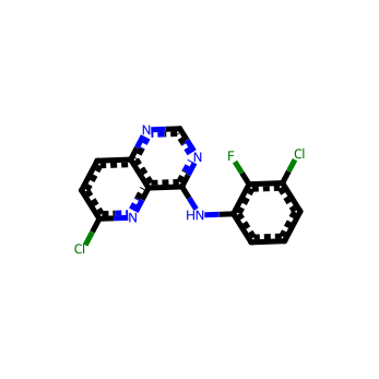 Fc1c(Cl)cccc1Nc1ncnc2ccc(Cl)nc12